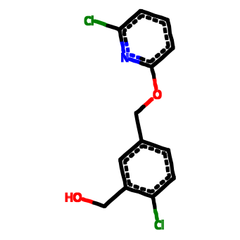 OCc1cc(COc2cccc(Cl)n2)ccc1Cl